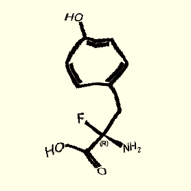 N[C@@](F)(Cc1ccc(O)cc1)C(=O)O